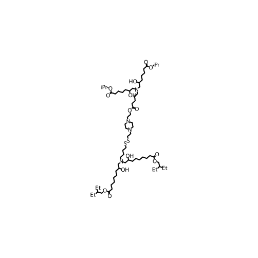 CCC(CC)COC(=O)CCCCCCC(O)CN(CCCCSSCCN1CCN(CCOC(=O)CCCCN(CC(O)CCCCC(=O)OC(C)C)CC(O)CCCCC(=O)OC(C)C)CC1)CC(O)CCCCCCC(=O)OCC(CC)CC